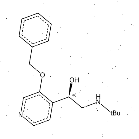 CC(C)(C)NC[C@H](O)c1ccncc1OCc1ccccc1